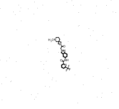 CN1CCCC2(C1)CN(C(=O)Cn1cc3cc(NC(=O)c4cccc(C(F)(F)F)n4)ccc3n1)C2